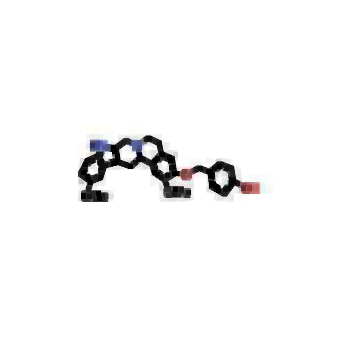 COc1ccc2[nH]c3c(c2c1)CC1c2cc(OC)c(OCc4ccc(O)cc4)cc2CCN1C3